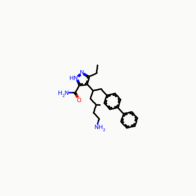 CCc1n[nH]c(C(N)=O)c1C(Cc1ccc(-c2ccccc2)cc1)CC(C)CCN